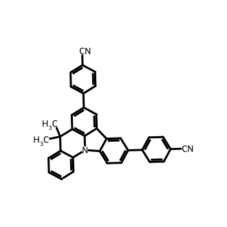 CC1(C)c2ccccc2-n2c3ccc(-c4ccc(C#N)cc4)cc3c3cc(-c4ccc(C#N)cc4)cc1c32